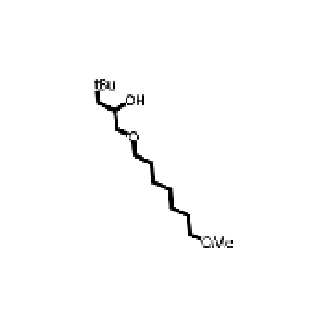 COCCCCCCCOCC(O)CC(C)(C)C